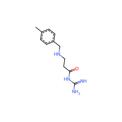 Cc1ccc(CNCCC(=O)NC(=N)N)cc1